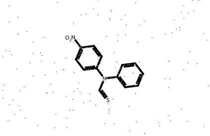 O=[N+]([O-])c1ccc(N(C=S)c2ccccc2)cc1